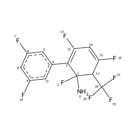 NC1(F)C(c2cc(F)cc(F)c2)=C(F)C=C(F)C1C(F)(F)F